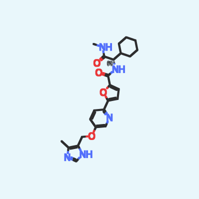 CNC(=O)[C@@H](NC(=O)c1ccc(-c2ccc(OCc3[nH]cnc3C)cn2)o1)C1CCCCC1